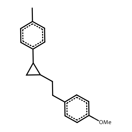 COc1ccc(CCC2CC2c2ccc(C)cc2)cc1